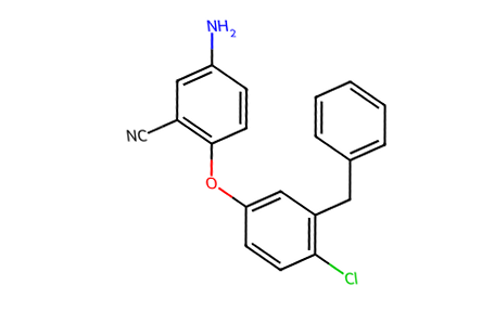 N#Cc1cc(N)ccc1Oc1ccc(Cl)c(Cc2ccccc2)c1